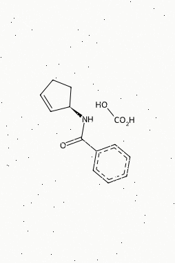 O=C(N[C@H]1C=CCC1)c1ccccc1.O=C(O)O